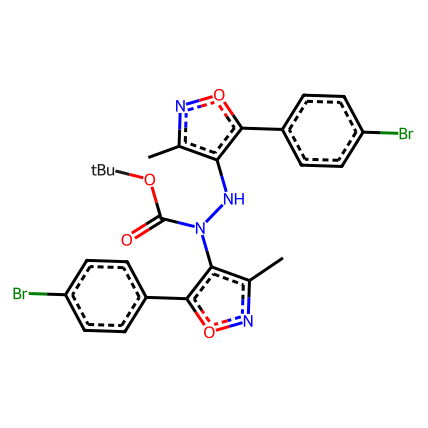 Cc1noc(-c2ccc(Br)cc2)c1NN(C(=O)OC(C)(C)C)c1c(C)noc1-c1ccc(Br)cc1